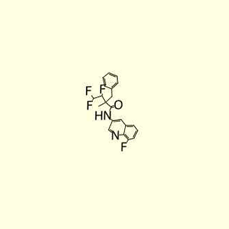 CC(Cc1ccccc1)(C(=O)Nc1cnc2c(F)cccc2c1)C(F)C(F)F